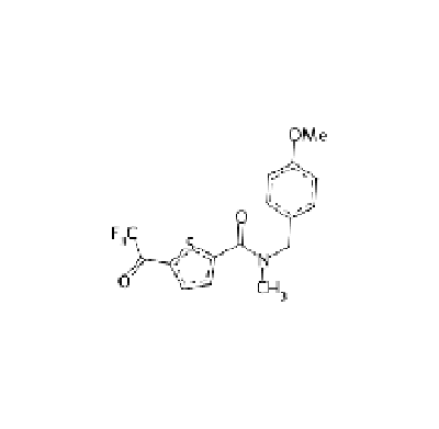 COc1ccc(CN(C)C(=O)c2ccc(C(=O)C(F)(F)F)s2)cc1